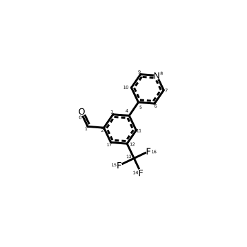 O=Cc1cc(-c2ccncc2)cc(C(F)(F)F)c1